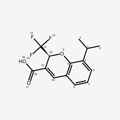 CC(C)c1cccc2c1O[C@H](C(F)(F)F)C(C(=O)O)=C2